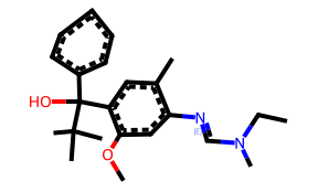 CCN(C)/C=N/c1cc(OC)c(C(O)(c2ccccc2)C(C)(C)C)cc1C